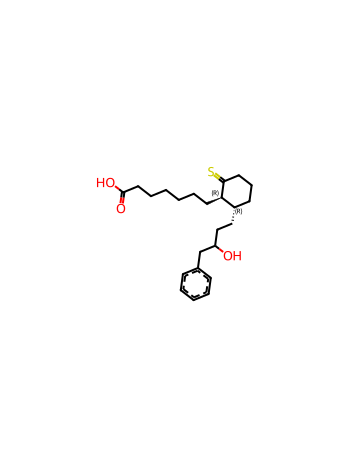 O=C(O)CCCCCC[C@H]1C(=S)CCC[C@@H]1CCC(O)Cc1ccccc1